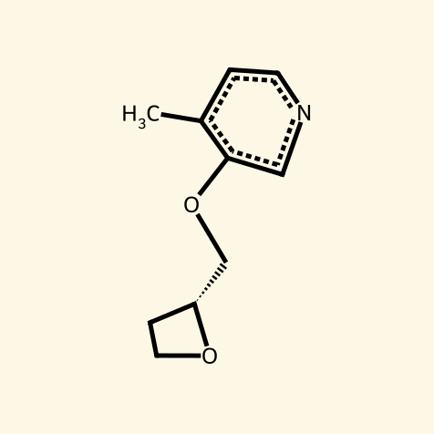 Cc1ccncc1OC[C@H]1CCO1